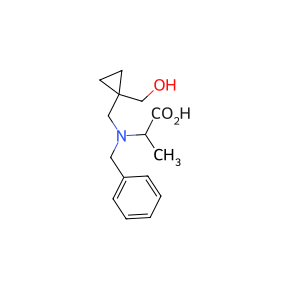 CC(C(=O)O)N(Cc1ccccc1)CC1(CO)CC1